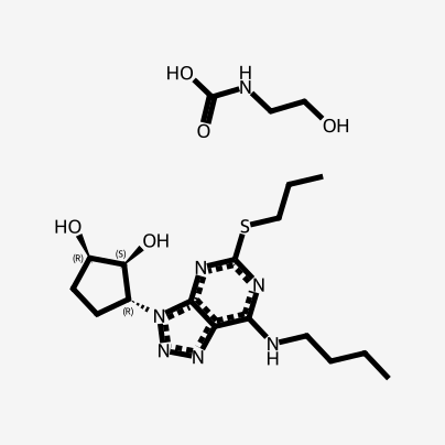 CCCCNc1nc(SCCC)nc2c1nnn2[C@@H]1CC[C@@H](O)[C@H]1O.O=C(O)NCCO